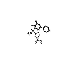 COC(=O)N1CCC(C(C)(N)c2nc(-c3ccncc3)cc(=O)n2C)C1